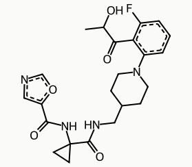 CC(O)C(=O)c1c(F)cccc1N1CCC(CNC(=O)C2(NC(=O)c3cnco3)CC2)CC1